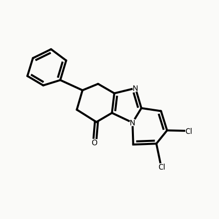 O=C1CC(c2ccccc2)Cc2nc3cc(Cl)c(Cl)cn3c21